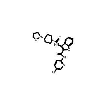 O=C(Nc1ccc(Cl)cn1)c1oc2ccccc2c1NC(=O)[C@H]1CC[C@H](N2CCCO2)CC1